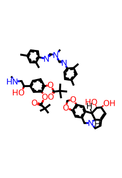 CNCC(O)c1ccc(OC(=O)C(C)(C)C)c(OC(=O)C(C)(C)C)c1.Cc1ccc(/N=C/N(C)/C=N/c2ccc(C)cc2C)c(C)c1.O[C@H]1[C@H]2c3cc4c(cc3CN3CCC(=C[C@@H]1O)[C@H]23)OCO4